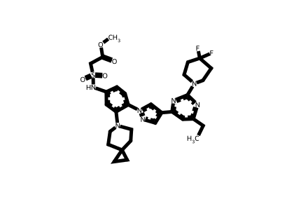 CCc1cc(-c2cnn(-c3ccc(NS(=O)(=O)CC(=O)OC)cc3N3CCC4(CC3)CC4)c2)nc(N2CCC(F)(F)CC2)n1